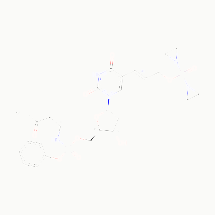 COC(=O)C[C@H](C)NP(=O)(OC[C@H]1O[C@@H](n2cc(/C=C/COP(=O)(N3CC3)N3CC3)c(=O)[nH]c2=O)C[C@@H]1O)Oc1ccccc1